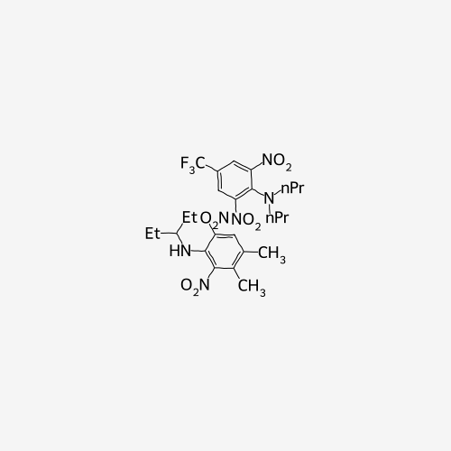 CCC(CC)Nc1c([N+](=O)[O-])cc(C)c(C)c1[N+](=O)[O-].CCCN(CCC)c1c([N+](=O)[O-])cc(C(F)(F)F)cc1[N+](=O)[O-]